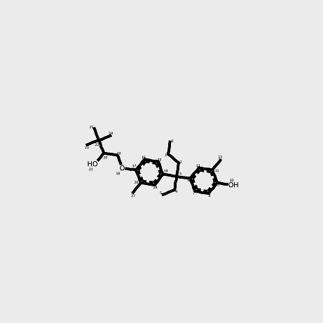 CCCC(CC)(c1ccc(O)c(C)c1)c1ccc(OCC(O)C(C)(C)C)c(C)c1